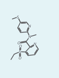 CCS(=O)(=O)c1cccnc1C(=O)N(C)c1ccc(SC)cn1